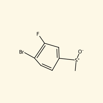 C[S+]([O-])c1ccc(Br)c(F)c1